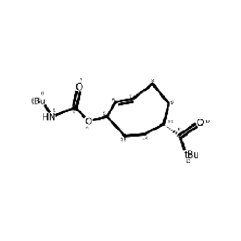 CC(C)(C)NC(=O)OC1/C=C/CC[C@H](C(=O)C(C)(C)C)CC1